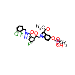 CC(=O)c1cn(CC(=O)C2C[C@H](F)C[C@H]2C(=O)NCc2cccc(Cl)c2F)c2ccc(OCP(C)(=O)O)cc12